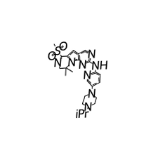 CC(C)N1CCN(c2ccc(Nc3ncc4cc5n(c4n3)C(C)(C)CN=C5S(C)(=O)=O)nc2)CC1